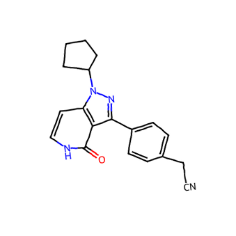 N#CCc1ccc(-c2nn(C3CCCC3)c3cc[nH]c(=O)c23)cc1